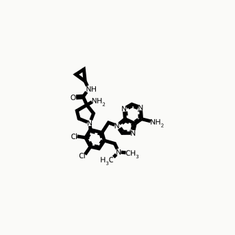 CN(C)Cc1cc(Cl)c(Cl)c(N2CCC(N)(C(=O)NC3CC3)C2)c1Cn1cnc2c(N)ncnc21